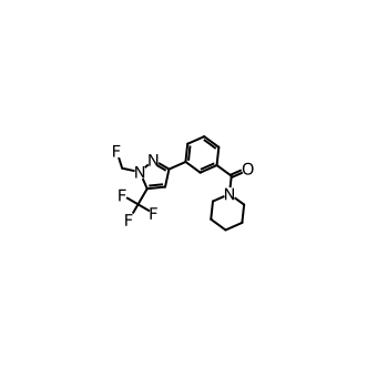 O=C(c1cccc(-c2cc(C(F)(F)F)n(CF)n2)c1)N1CCCCC1